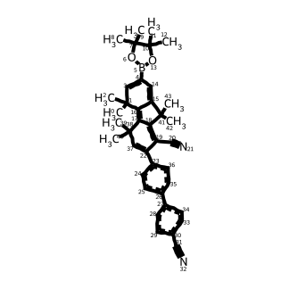 CC1(C)C=C(B2OC(C)(C)C(C)(C)O2)C=C2C1=C1C(=C(C#N)C(c3ccc(-c4ccc(C#N)cc4)cc3)=CC1(C)C)C2(C)C